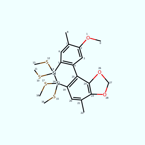 COc1cc2c(cc1C)[Si](SC)(SC)[Si](SC)(SC)c1cc(C)c3c(c1-2)OCO3